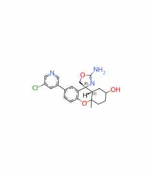 CC12CCC(O)C[C@H]1[C@]1(COC(N)=N1)c1cc(-c3cncc(Cl)c3)ccc1O2